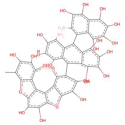 Bc1c(O)c(O)c2c(O)c(O)c(O)c(O)c2c1-c1c2c(B)c(O)c(O)c(O)c2c(-c2c(O)c(O)c3oc4c(O)c(O)c5oc6c(C)c(O)c(O)c7ooc2c3c4c5c67)c2c(O)c(O)c(O)c(O)c12